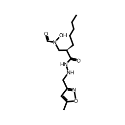 CCCCC[C@H](CN(O)C=O)C(=O)NNCc1cc(C)on1